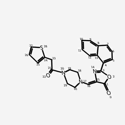 O=C1OC(c2cccc3ccccc23)=NC1=CN1CCN(C(=O)Cc2cccs2)CC1